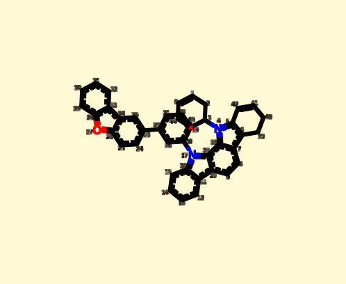 C1=CCC(n2c3c(c4ccc5c6ccccc6n(-c6cccc(-c7ccc8oc9ccccc9c8c7)c6)c5c42)CCC=C3)C=C1